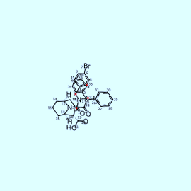 CN(Cc1ccc(Br)cc1)C(=O)N1[C@H]2CCC[C@@H]1[C@@H](C(=O)O)N(C(=O)N(c1ccccc1)c1ccccc1)C2